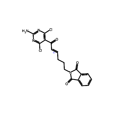 Nc1nc(Cl)c(C(=O)/C=C/CCCN2C(=O)c3ccccc3C2=O)c(Cl)n1